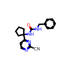 N#Cc1nccc(C2(NC(=O)NCc3ccccc3)CCCC2)n1